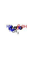 CN(c1ncnc2[nH]ccc12)C1CCC(CS(=O)(=O)N2CCC[C@H](O)C2)CC1